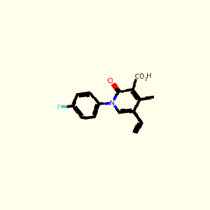 C=Cc1cn(-c2ccc(F)cc2)c(=O)c(C(=O)O)c1C